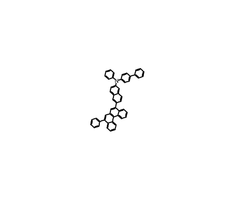 c1ccc(-c2ccc(N(c3ccccc3)c3ccc4cc(-c5cc6cc(-c7ccccc7)c7ccccc7c6c6ccccc56)ccc4c3)cc2)cc1